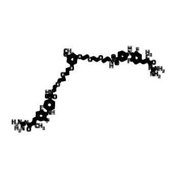 COc1cc(OCCOCCOCCNS(=O)(=O)c2ccc(Nc3c(F)cc(/C=C(\C)C(=O)N=C(N)N)cc3F)cc2)cc(OCCOCCOCCNS(=O)(=O)c2ccc(Nc3c(F)cc(/C=C(\C)C(=O)N=C(N)N)cc3F)cc2)c1